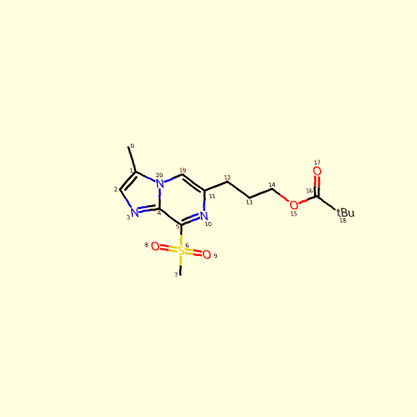 Cc1cnc2c(S(C)(=O)=O)nc(CCCOC(=O)C(C)(C)C)cn12